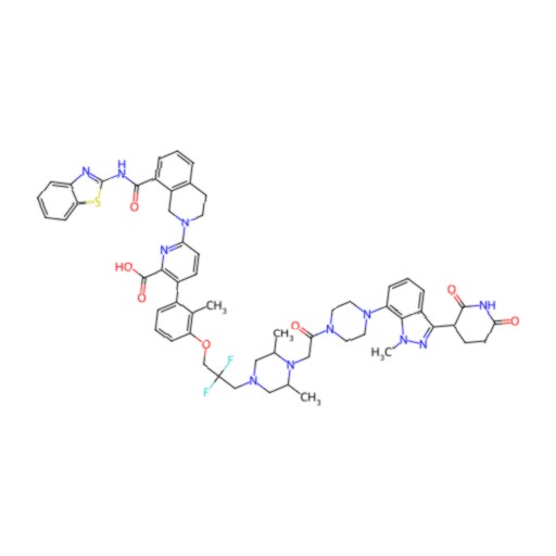 Cc1c(OCC(F)(F)CN2CC(C)N(CC(=O)N3CCN(c4cccc5c(C6CCC(=O)NC6=O)nn(C)c45)CC3)C(C)C2)cccc1-c1ccc(N2CCc3cccc(C(=O)Nc4nc5ccccc5s4)c3C2)nc1C(=O)O